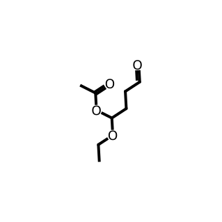 CCOC(CCC=O)OC(C)=O